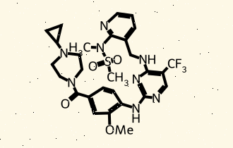 COc1cc(C(=O)N2CCN(C3CC3)CC2)ccc1Nc1ncc(C(F)(F)F)c(NCc2cccnc2N(C)S(C)(=O)=O)n1